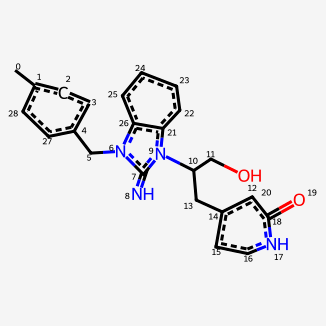 Cc1ccc(Cn2c(=N)n(C(CO)Cc3cc[nH]c(=O)c3)c3ccccc32)cc1